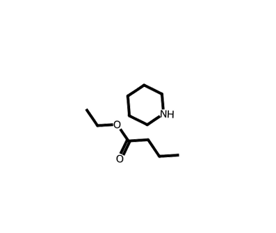 C1CCNCC1.CCCC(=O)OCC